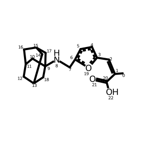 CC(=Cc1ccc(CNC23CC4CC(CC(C4)C2)C3)o1)C(=O)O